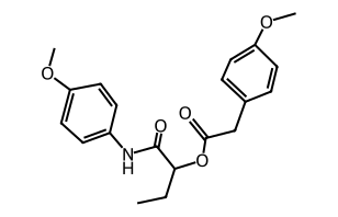 CCC(OC(=O)Cc1ccc(OC)cc1)C(=O)Nc1ccc(OC)cc1